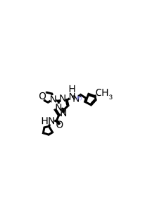 Cc1cccc(/C=N/Nc2cc3nc(C(=O)NC4CCCC4)cn3c(N3CCOCC3)n2)c1